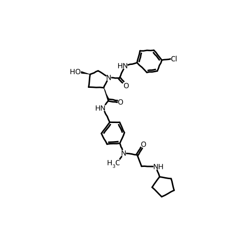 CN(C(=O)CNC1CCCC1)c1ccc(NC(=O)[C@H]2C[C@@H](O)CN2C(=O)Nc2ccc(Cl)cc2)cc1